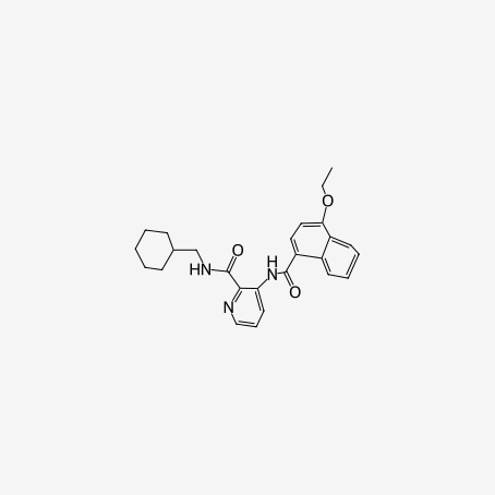 CCOc1ccc(C(=O)Nc2cccnc2C(=O)NCC2CCCCC2)c2ccccc12